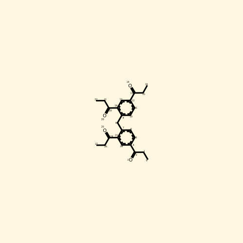 CCC(=O)c1ccc(Cc2ccc(C(=O)CC)cc2C(=O)CC)c(C(=O)CC)c1